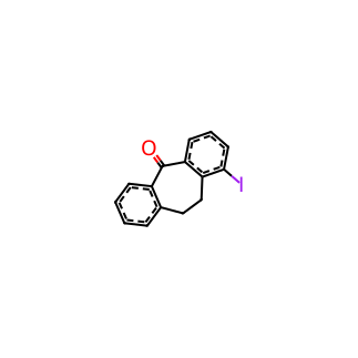 O=C1c2ccccc2CCc2c(I)cccc21